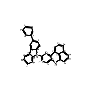 c1ccc(-c2ccc3c(c2)c2ccccc2n3-c2ncc3c(n2)-c2cccc4cccc(c24)O3)cc1